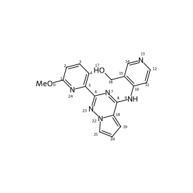 COc1cccc(-c2nc(Nc3ccncc3CO)c3cccn3n2)n1